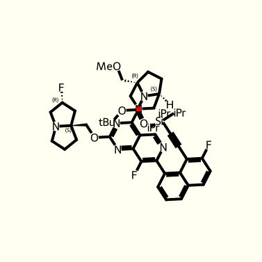 COC[C@@]12CC[C@@H](CN(c3nc(OC[C@@]45CCCN4C[C@H](F)C5)nc4c(F)c(-c5cccc6ccc(F)c(C#C[Si](C(C)C)(C(C)C)C(C)C)c56)ncc34)C1)N2C(=O)OC(C)(C)C